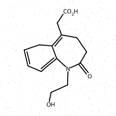 O=C(O)CC1=C2CC=CC=C2N(CCO)C(=O)CC1